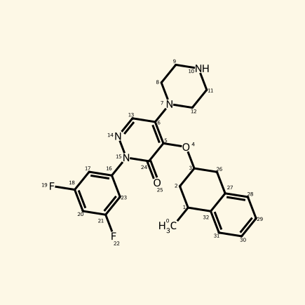 CC1CC(Oc2c(N3CCNCC3)cnn(-c3cc(F)cc(F)c3)c2=O)Cc2ccccc21